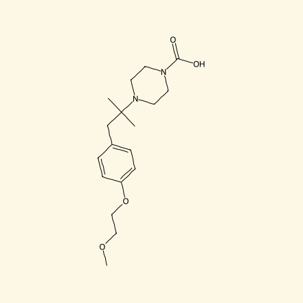 COCCOc1ccc(CC(C)(C)N2CCN(C(=O)O)CC2)cc1